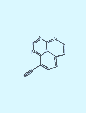 C#CC1=CC=C2C=CN=C3N=CN=C1N23